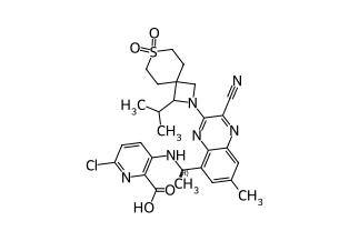 Cc1cc([C@@H](C)Nc2ccc(Cl)nc2C(=O)O)c2nc(N3CC4(CCS(=O)(=O)CC4)C3C(C)C)c(C#N)nc2c1